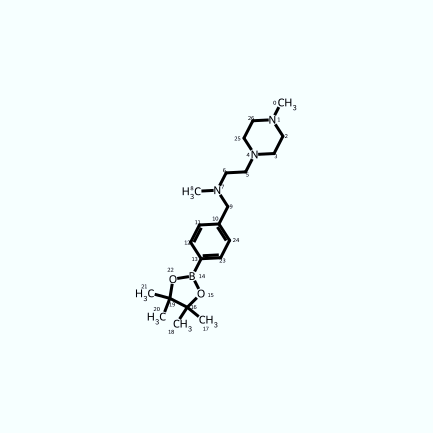 CN1CCN(CCN(C)Cc2ccc(B3OC(C)(C)C(C)(C)O3)cc2)CC1